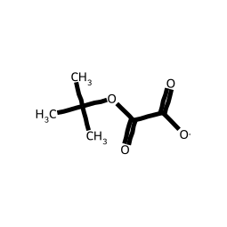 CC(C)(C)OC(=O)C([O])=O